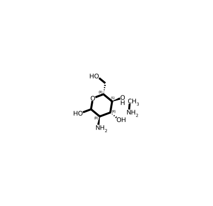 CN.N[C@H]1C(O)O[C@H](CO)[C@@H](O)[C@@H]1O